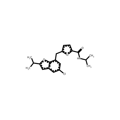 CC(C)NC(=O)c1ccc(Cc2cc(Cl)cc3cc(C(C)C)oc23)o1